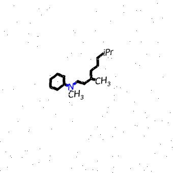 CC(C)CCCC(C)CCN(C)C1CCCCC1